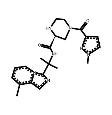 Cc1cccn2c(C(C)(C)NC(=O)[C@@H]3CN(C(=O)c4ccn(C)n4)CCN3)ncc12